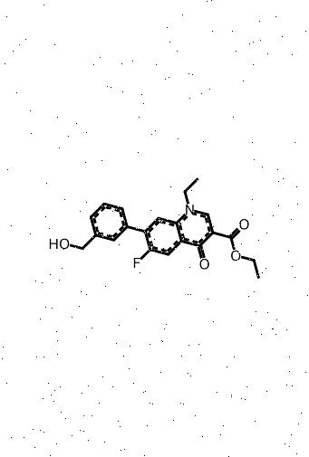 CCOC(=O)c1cn(CC)c2cc(-c3cccc(CO)c3)c(F)cc2c1=O